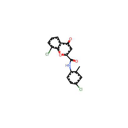 Cc1cc(Cl)ccc1NC(=O)c1cc(=O)c2cccc(Cl)c2o1